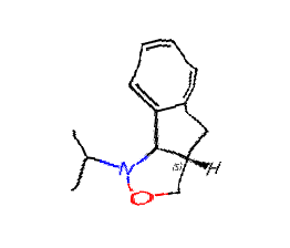 CC(C)N1OC[C@H]2Cc3ccccc3C21